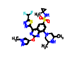 CC1CN(c2cc(S(=O)(=O)NC3(C)CC3)cc3c(-c4nnc(C(F)F)s4)nc(Oc4cnn(C)c4)nc23)CC(C)N1